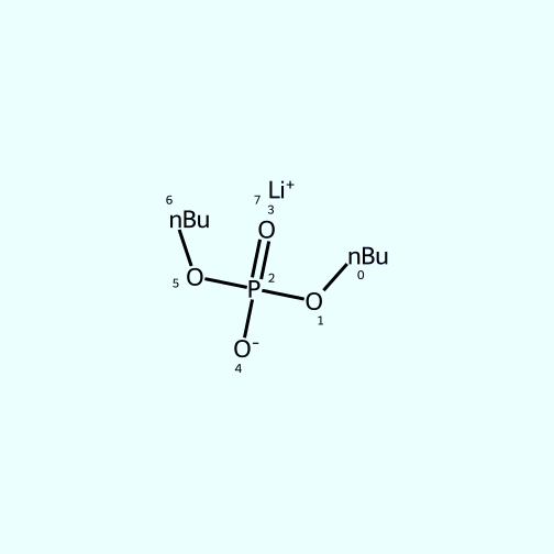 CCCCOP(=O)([O-])OCCCC.[Li+]